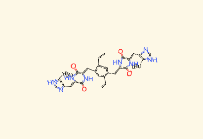 C=Cc1cc(/C=c2\[nH]c(=O)/c(=C/c3nc[nH]c3C(C)(C)C)[nH]c2=O)c(C=C)cc1/C=c1\[nH]c(=O)/c(=C/c2nc[nH]c2C(C)(C)C)[nH]c1=O